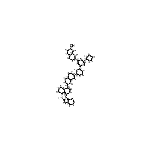 CCc1nc2ccccc2n1-c1ccc(-c2ccc3ccc(-c4cccc(-c5nc(-c6ccccc6)nc(-c6ccc7ccc(C#N)cc7c6)n5)c4)cc3c2)c2ccccc12